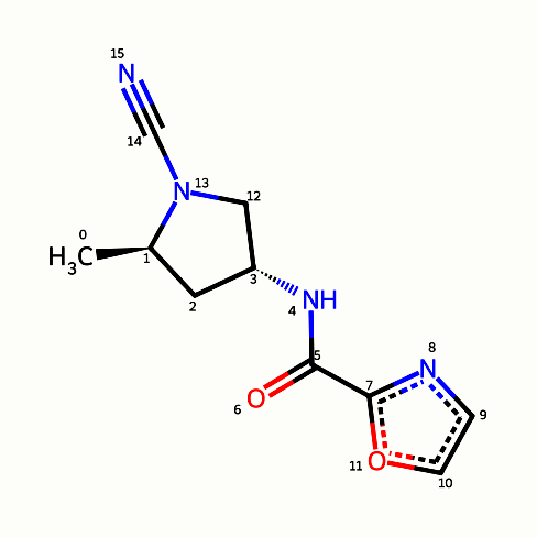 C[C@@H]1C[C@@H](NC(=O)c2ncco2)CN1C#N